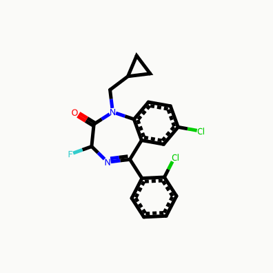 O=C1C(F)N=C(c2ccccc2Cl)c2cc(Cl)ccc2N1CC1CC1